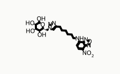 O=[N+]([O-])c1ccc(NCCCCCCc2cn(C[C@H]3OC(O)[C@H](O)[C@@H](O)[C@@H]3O)nn2)c2nonc12